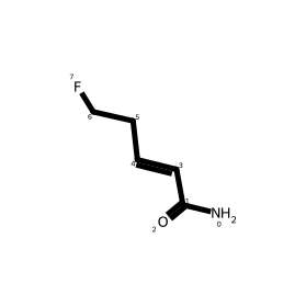 NC(=O)C=CCCF